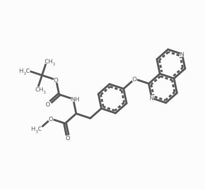 COC(=O)C(Cc1ccc(Oc2nccc3cnccc23)cc1)NC(=O)OC(C)(C)C